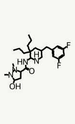 CCCC1(CCC)CC(Cc2cc(F)cc(F)c2)CNC1NC(=O)C1CC(O)N(C)N1C